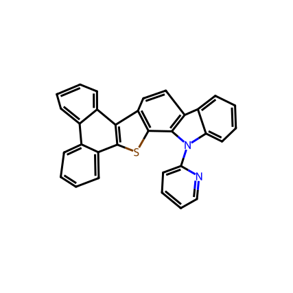 c1ccc(-n2c3ccccc3c3ccc4c(sc5c6ccccc6c6ccccc6c45)c32)nc1